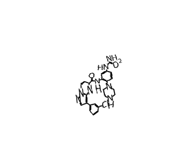 NC(=O)Nc1ccc(N2CCNCC2)c(NC(=O)c2ccn3ncc(-c4cccc(Cl)c4)c3n2)c1